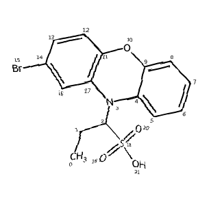 CCC(N1c2ccccc2Oc2ccc(Br)cc21)S(=O)(=O)O